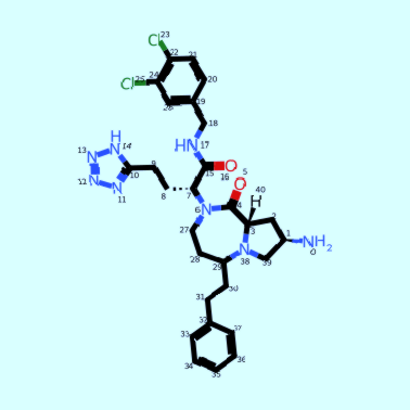 N[C@@H]1C[C@H]2C(=O)N([C@H](CCc3nnn[nH]3)C(=O)NCc3ccc(Cl)c(Cl)c3)CCC(CCc3ccccc3)N2C1